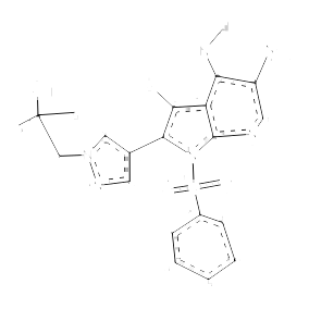 CC(C)Nc1c([N+](=O)[O-])cnc2c1c(Br)c(-c1cnn(CC(C)(C)O)c1)n2S(=O)(=O)c1ccccc1